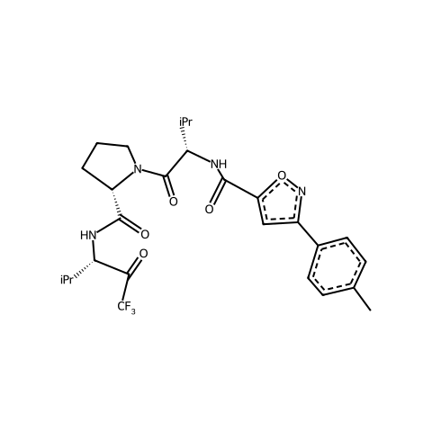 Cc1ccc(-c2cc(C(=O)N[C@H](C(=O)N3CCC[C@H]3C(=O)N[C@H](C(=O)C(F)(F)F)C(C)C)C(C)C)on2)cc1